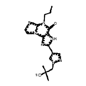 CCCn1c(=O)c2[nH]c(-c3cnn(CC(C)(C)O)c3)nc2n2ccnc12